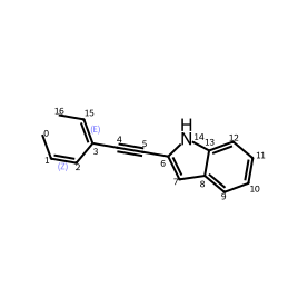 C/C=C\C(C#Cc1cc2ccccc2[nH]1)=C/C